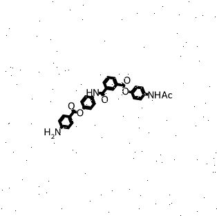 CC(=O)Nc1ccc(OC(=O)c2cccc(C(=O)Nc3ccc(OC(=O)c4ccc(N)cc4)cc3)c2)cc1